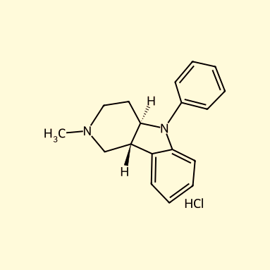 CN1CC[C@@H]2[C@@H](C1)c1ccccc1N2c1ccccc1.Cl